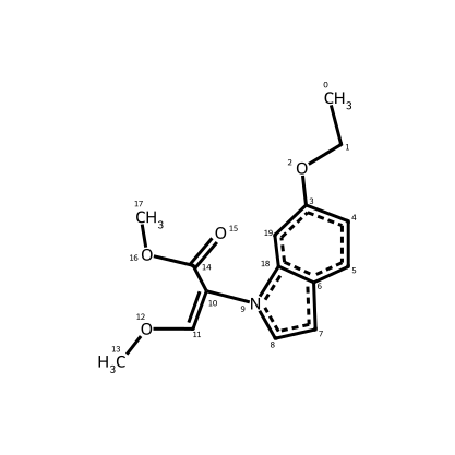 CCOc1ccc2ccn(C(=COC)C(=O)OC)c2c1